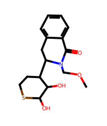 COCN1C(=O)c2ccccc2CC1C1CCSC(O)C1O